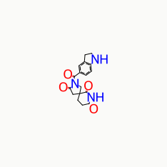 O=C1CCC2(CC(=O)N(C(=O)c3ccc4c(c3)CCN4)C2)C(=O)N1